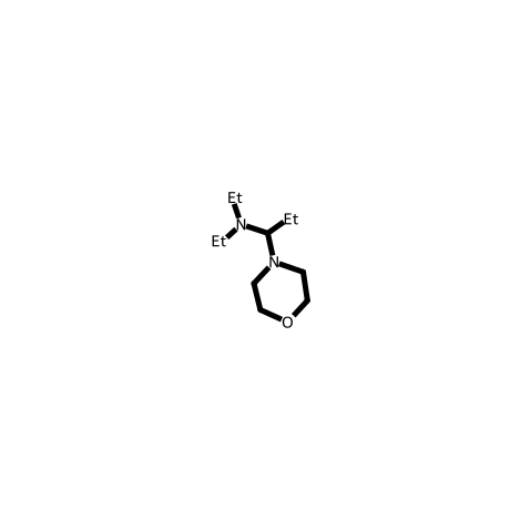 CCC(N(CC)CC)N1CCOCC1